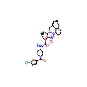 COC(=O)C1=C(C(=O)NC2CCN(C(=O)c3ccc(Cl)s3)CC2)C2C=CC1(C(Cc1ccccc1)Nc1ccccc1)O2